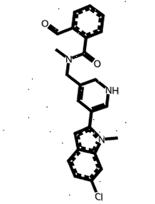 CN(CC1=CC(c2cc3ccc(Cl)cc3n2C)=CNC1)C(=O)c1ccccc1C=O